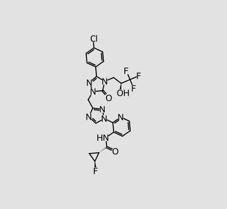 O=C(Nc1cccnc1-n1cnc(Cn2nc(-c3ccc(Cl)cc3)n(C[C@H](O)C(F)(F)F)c2=O)n1)[C@H]1C[C@@H]1F